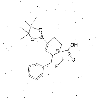 CC1(C)OB(C2=CC(Cc3ccccc3)[C@](CF)(C(=O)O)CC2)OC1(C)C